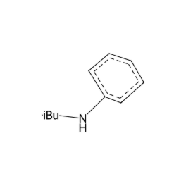 CC[C](C)Nc1ccccc1